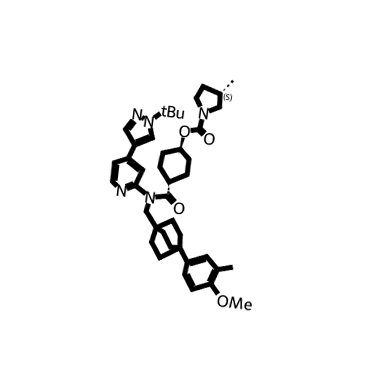 COc1ccc(C23CCC(CN(c4cc(-c5cnn(C(C)(C)C)c5)ccn4)C(=O)[C@H]4CC[C@H](OC(=O)N5CC[C@H](C)C5)CC4)(CC2)CC3)cc1C